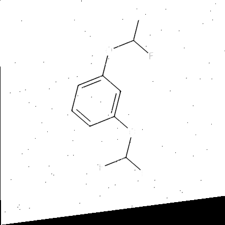 FC(F)Oc1[c]ccc(OC(F)F)c1